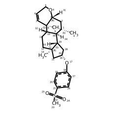 C[C@H]1C[C@H]2OCC=C[C@]2(C)[C@H]2CC[C@]3(C)C[C@@H](Oc4ccc(S(C)(=O)=O)cc4)C[C@H]3[C@H]12